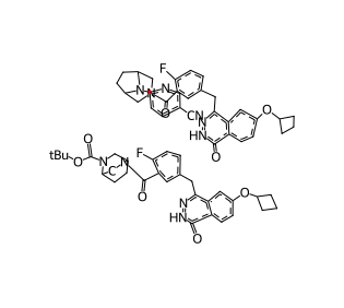 CC(C)(C)OC(=O)N1CC2CCC1CN2C(=O)c1cc(Cc2n[nH]c(=O)c3ccc(OC4CCC4)cc23)ccc1F.N#Cc1ccc(N2C3CCC2CN(C(=O)c2cc(Cc4n[nH]c(=O)c5ccc(OC6CCC6)cc45)ccc2F)C3)nc1